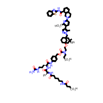 CCCC1(C)CC2(Cn3ncc(-c4ccc(N5CCc6cccc(C(=O)Nc7nc8ccccc8s7)c6C5)nc4C(=O)O)c3C)CCCC(OCCN(CCS(=O)(=O)O)C(=O)OCc3ccc(NC(=O)[C@H](CCCNC(N)=O)NC(=O)[C@@H](NC(=O)CCCCCNC(=O)CCC(=O)O)C(C)C)cc3)(C1)C2